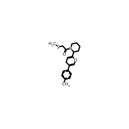 CSCC(=O)N1CCCCC1C1=CCC(c2ccc(C)cc2)=CO1